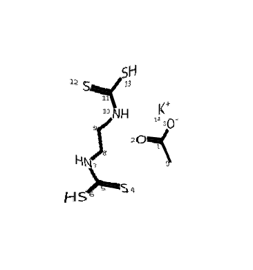 CC(=O)[O-].S=C(S)NCCNC(=S)S.[K+]